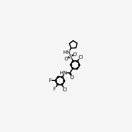 O=C(Nc1cc(F)c(F)c(Cl)c1)c1ccc(Cl)c(S(=O)(=O)NC2CCCC2)c1